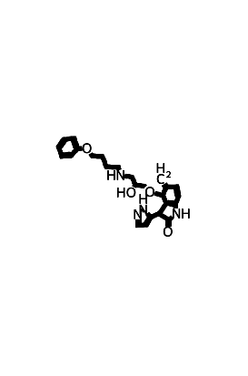 C=C1C=CC2=C(C1OCC(O)CNCCCCOc1ccccc1)C(c1ccn[nH]1)C(=O)N2